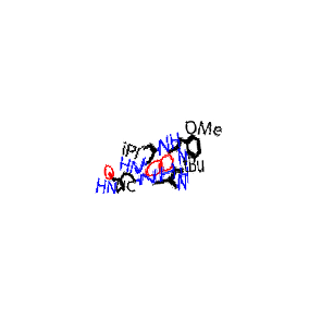 COc1cccc2[nH]c(C(=O)NC(CC(C)C)C(=O)NC(CC3CCNC3=O)C(C#N)NCC3=CC(C(C)(C)C)=NC3)cc12